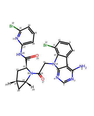 Nc1ncnc2c1c1cccc(Br)c1n2CC(=O)N1[C@@H]2C[C@@H]2C[C@H]1C(=O)Nc1cccc(Br)n1